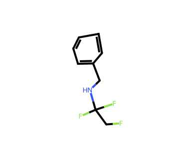 FCC(F)(F)NCc1ccccc1